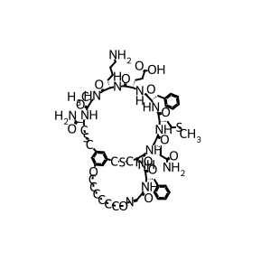 CSCC[C@@H]1NC(=O)[C@H](CCC(N)=O)NC(=O)[C@@H]2CSCc3cc(cc(c3)OCCCCCCO/N=C/C(=O)N[C@@H](Cc3ccccc3)C(=O)N2)CSC[C@@H](C(N)=O)NC(=O)[C@H](C)NC(=O)[C@H](CCCCN)NC(=O)[C@H](CCC(=O)O)NC(=O)[C@H](Cc2ccccc2)NC1=O